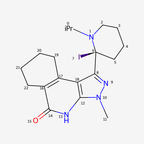 CC(C)N1CCCC[C@]1(I)c1nn(C)c2[nH]c(=O)c3c(c12)CCCC3